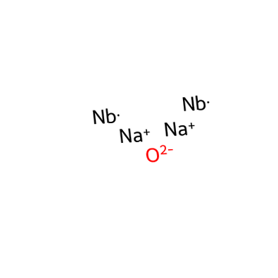 [Na+].[Na+].[Nb].[Nb].[O-2]